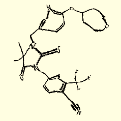 CC1(C)C(=O)N(c2ccc(C#N)c(C(F)(F)F)c2)C(=S)N1Cc1ccc(OC2CCOCC2)nc1